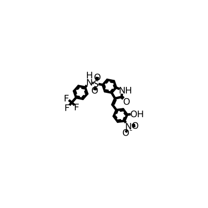 O=C1Nc2ccc(S(=O)(=O)Nc3ccc(C(F)(F)F)cc3)cc2C1=Cc1ccc([N+](=O)[O-])c(O)c1